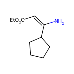 CCOC(=O)/C=C(/N)C1CCCC1